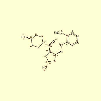 CCOC(=O)c1ncccc1OC[C@H]1C[C@H](O)CN1C(=O)[C@H]1CC[C@H](C(F)(F)F)CC1